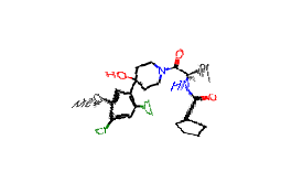 COc1cc(C2(O)CCN(C(=O)[C@H](NC(=O)C3CCCC3)C(C)C)CC2)c(Cl)cc1Cl